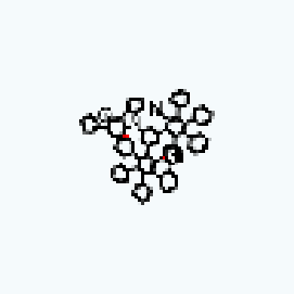 N#Cc1c(-c2ccccc2)c(-c2ccccc2)c(-c2ccccc2)c(-c2ccccc2)c1-c1cc(-c2c(C#N)c(-c3ccccc3)c(-c3ccccc3)c(-c3ccccc3)c2-c2ccccc2)cc(-n2c3ccccc3c3c4oc5ccccc5c4ccc32)c1